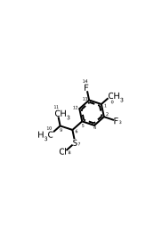 Cc1c(F)cc(C(SCl)C(C)C)cc1F